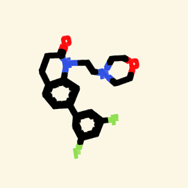 O=C1CCc2ccc(-c3cc(F)cc(F)c3)cc2N1CCN1CCOCC1